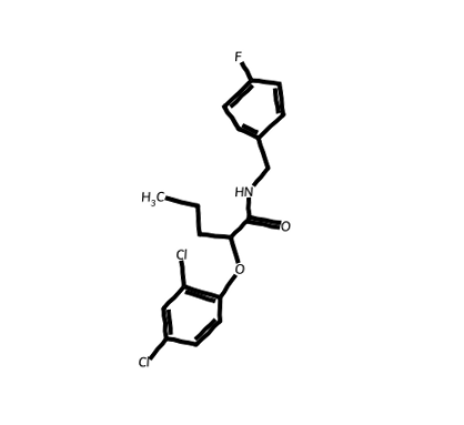 CCCC(Oc1ccc(Cl)cc1Cl)C(=O)NCc1ccc(F)cc1